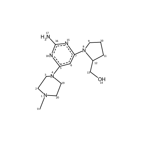 CN1CCN(c2cc(N3CCCC3CO)nc(N)n2)CC1